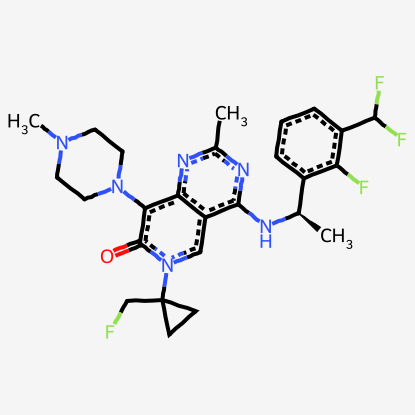 Cc1nc(N[C@H](C)c2cccc(C(F)F)c2F)c2cn(C3(CF)CC3)c(=O)c(N3CCN(C)CC3)c2n1